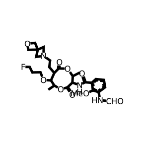 COc1c(NC=O)cccc1C(=O)NC1C(=O)OC(C)C(OCCCF)C(CCN2CC3(COC3)C2)C(=O)OC1C